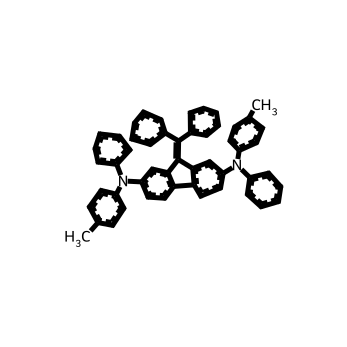 Cc1ccc(N(c2ccccc2)c2ccc3c(c2)C(=C(c2ccccc2)c2ccccc2)c2cc(N(c4ccccc4)c4ccc(C)cc4)ccc2-3)cc1